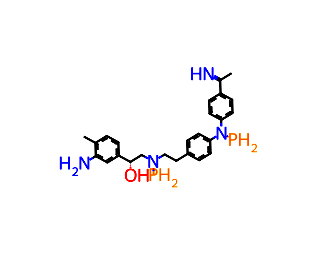 CC(=N)c1ccc(N(P)c2ccc(CCN(P)C[C@H](O)c3ccc(C)c(N)c3)cc2)cc1